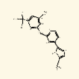 Cc1cnc(-c2ccnc(Nc3cc(O)cc(C(F)(F)F)c3)n2)s1